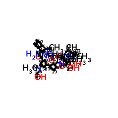 COc1c(CN2O[C@@H](CO)[C@@H]([C@H](C)O)[C@H]2C(O)NC[C@@H](C)[C@@H]2C[C@H](C)C2(C)C)cccc1-c1cc(C(=O)N[C@H](CN(C)C)[C@@H](N)c2ccccc2)cc(N(C)CCO)c1